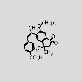 CCCCCCCOc1cc2c(cc1/C(C)=C\c1ccc(C(=O)O)cc1)C(C)(C)CS2(=O)=O